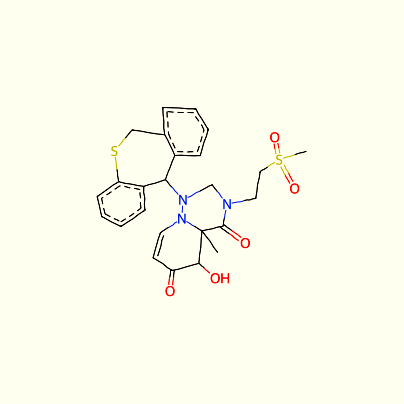 CC12C(=O)N(CCS(C)(=O)=O)CN(C3c4ccccc4CSc4ccccc43)N1C=CC(=O)C2O